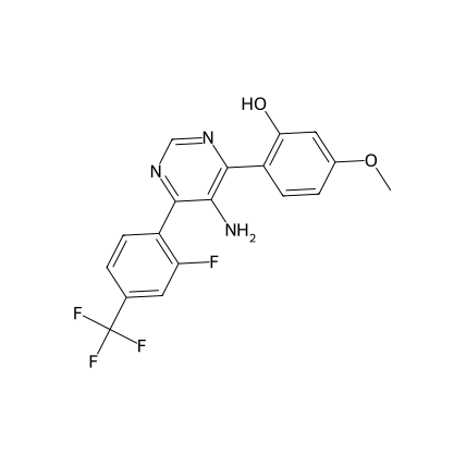 COc1ccc(-c2ncnc(-c3ccc(C(F)(F)F)cc3F)c2N)c(O)c1